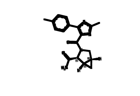 Cc1ccc(-c2sc(C)nc2C(=O)N2C[C@@H]3C[C@@H]3[C@H]2C(N)=O)cc1